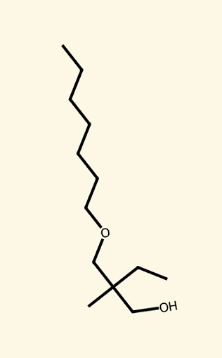 CCCCCCCOCC(C)(CC)CO